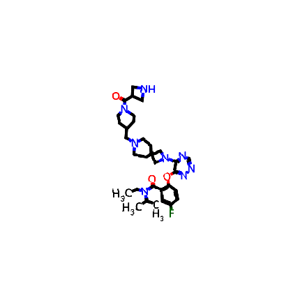 CCN(C(=O)c1cc(F)ccc1Oc1nncnc1N1CC2(CCN(CC3CCN(C(=O)C4CNC4)CC3)CC2)C1)C(C)C